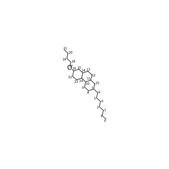 CCCCCCCC1CCC2C(CCC3CC(OCCCC)CCC32)C1